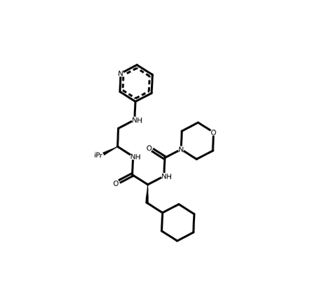 CC(C)[C@@H](CNc1cccnc1)NC(=O)[C@H](CC1CCCCC1)NC(=O)N1CCOCC1